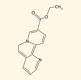 CCOC(=O)C1=CN2CC=c3cccnc3=C2C=C1